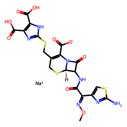 CO/N=C(/C(=O)NC1C(=O)N2C(C(=O)[O-])=C(CSc3nc(C(=O)O)c(C(=O)O)[nH]3)CS[C@H]12)c1csc(N)n1.[Na+]